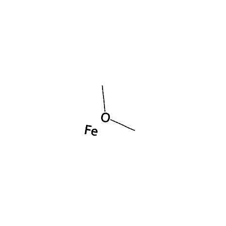 COC.[Fe]